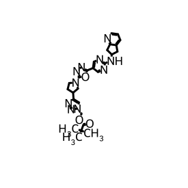 CC(C)(C)C(=O)OCn1cc(C2CCN(c3nnc(-c4cnc(NC5Cc6cccnc6C5)nc4)o3)C2)nn1